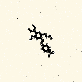 CCN(CC)c1cc(N=COC)c(N=Nc2ccc([SH](=O)=O)cc2)cc1OC